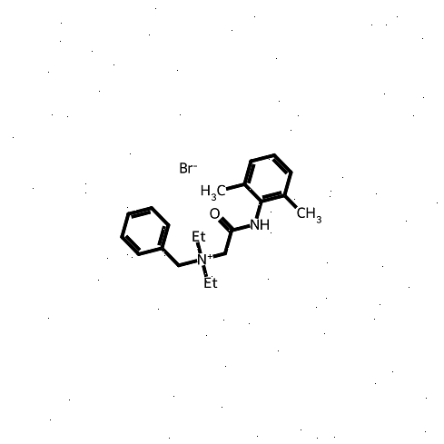 CC[N+](CC)(CC(=O)Nc1c(C)cccc1C)Cc1ccccc1.[Br-]